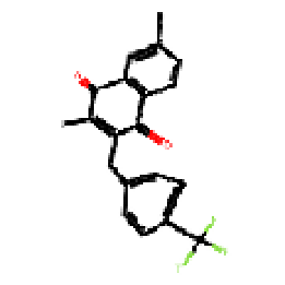 CC1=C(Cc2ccc(C(F)(F)F)cc2)C(=O)c2ccc(C)cc2C1=O